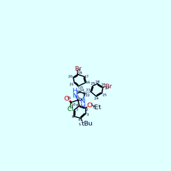 CCOc1cc(C(C)(C)C)ccc1C1(C(=O)Cl)N[C@H](c2ccc(Br)cc2)[C@H](c2ccc(Br)cc2)N1